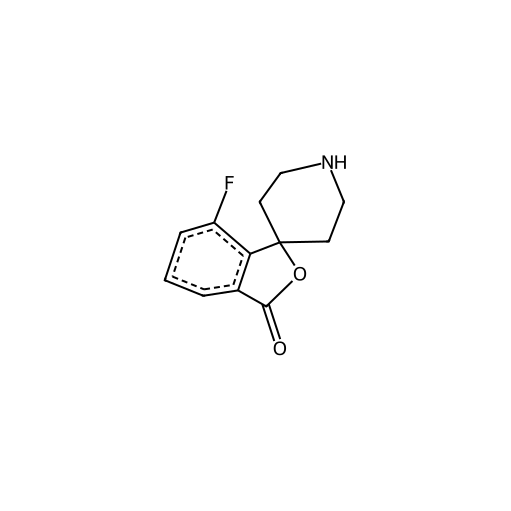 O=C1OC2(CCNCC2)c2c(F)cccc21